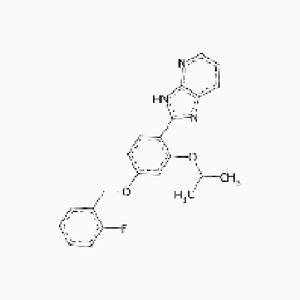 CC(C)Oc1cc(OCc2ccccc2F)ccc1-c1nc2cccnc2[nH]1